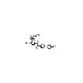 NCCCS(=O)(=O)Nc1cc(NC(=O)c2ccc(-c3ccc(C(F)(F)F)cc3)cc2)ccc1O